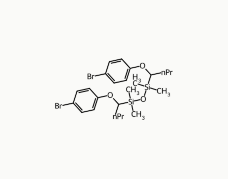 CCCC(Oc1ccc(Br)cc1)[Si](C)(C)O[Si](C)(C)C(CCC)Oc1ccc(Br)cc1